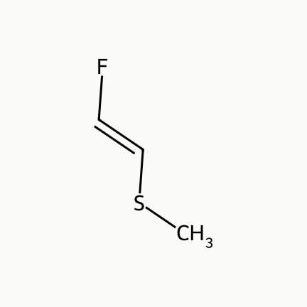 CSC=CF